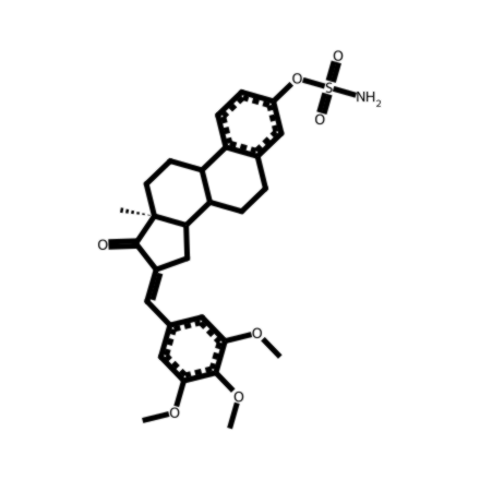 COc1cc(/C=C2\CC3C4CCc5cc(OS(N)(=O)=O)ccc5C4CC[C@]3(C)C2=O)cc(OC)c1OC